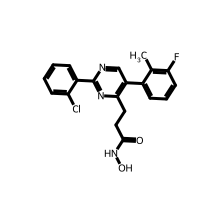 Cc1c(F)cccc1-c1cnc(-c2ccccc2Cl)nc1CCC(=O)NO